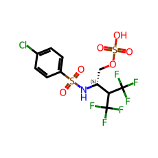 O=S(=O)(O)OC[C@@H](NS(=O)(=O)c1ccc(Cl)cc1)C(C(F)(F)F)C(F)(F)F